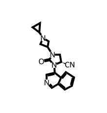 N#C[C@H]1CN(C2CN(C3CC3)C2)C(=O)N1c1cncc2ccccc12